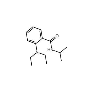 CCN(CC)c1ccccc1C(=O)NC(C)C